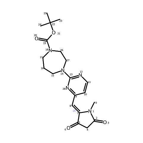 CN1C(=O)CC(=O)/C1=C/c1ccnc(N2CCCN(C(=O)OC(C)(C)C)CC2)n1